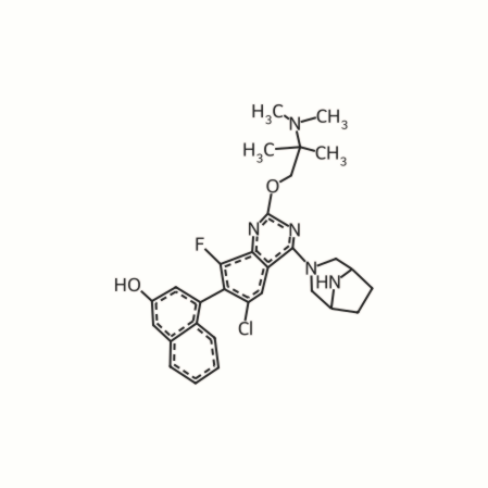 CN(C)C(C)(C)COc1nc(N2CC3CCC(C2)N3)c2cc(Cl)c(-c3cc(O)cc4ccccc34)c(F)c2n1